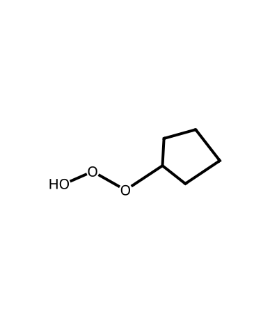 OOOC1CCCC1